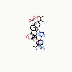 CC(C)[C@@H](C)[C@@]1(C)CC[C@]2(C)[C@H]3CC[C@@H]4[C@@]5(COC[C@@]4(C)[C@@H](OC[C@](C)(N)C(C)C)[C@H](n4ncnc4-c4cnccn4)C5)C3=CC[C@@]2(C)[C@@H]1C(=O)O